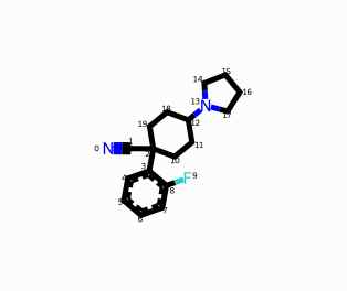 N#CC1(c2ccccc2F)CCC(N2CCCC2)CC1